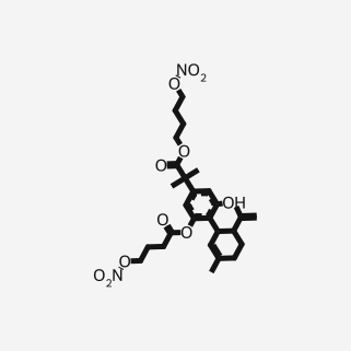 C=C(C)C1CCC(C)=CC1c1c(O)cc(C(C)(C)C(=O)OCCCCO[N+](=O)[O-])cc1OC(=O)CCCO[N+](=O)[O-]